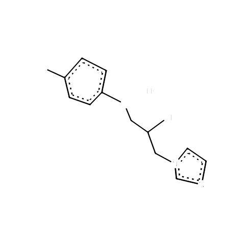 Cl.Clc1ccc(SCC(Cl)Cn2ccnc2)cc1